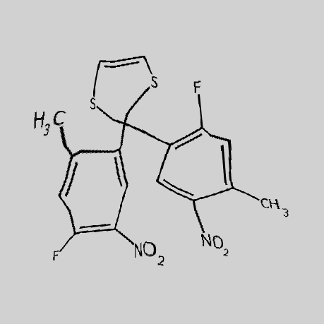 Cc1cc(F)c(C2(c3cc([N+](=O)[O-])c(F)cc3C)SC=CS2)cc1[N+](=O)[O-]